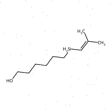 CC(C)=C[SiH2]CCCCCCO